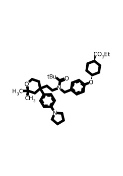 CCOC(=O)[C@H]1CC[C@H](Oc2ccc(CN(CCC3(c4ccc(N5CCCC5)cc4)CCOC(C)(C)C3)C(=O)C(C)(C)C)cc2)CC1